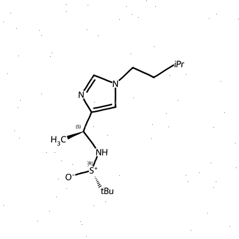 CC(C)CCn1cnc([C@H](C)N[S@@+]([O-])C(C)(C)C)c1